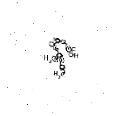 CCc1ccc(COc2ccc(C3CN(C(=O)c4cc(OCCN5CC[C@@H](O)[C@@H](F)C5)ccn4)C3)cc2OC)cc1